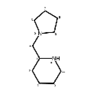 C1CCC(CN2CCCC2)NC1